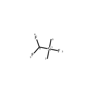 C[Si](C)(F)C(F)F